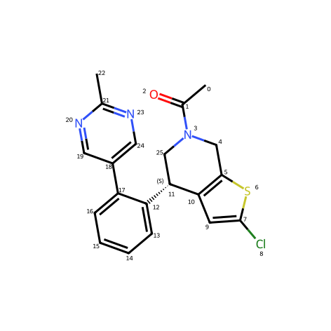 CC(=O)N1Cc2sc(Cl)cc2[C@H](c2ccccc2-c2cnc(C)nc2)C1